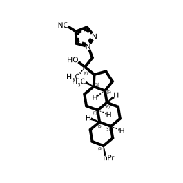 CCC[C@H]1CC[C@H]2[C@@H](CC[C@@H]3[C@@H]2CC[C@]2(C)C([C@@](C)(O)Cn4cc(C#N)cn4)CC[C@@H]32)C1